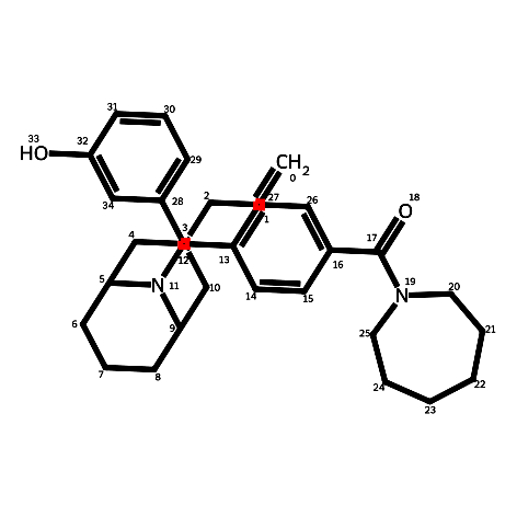 C=CCN1CC2CCCC(C1)N2C(c1ccc(C(=O)N2CCCCCC2)cc1)c1cccc(O)c1